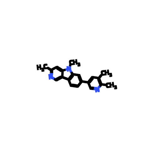 Cc1cc2c(cn1)c1ccc(-c3cnc(C)c(C)c3)cc1n2C